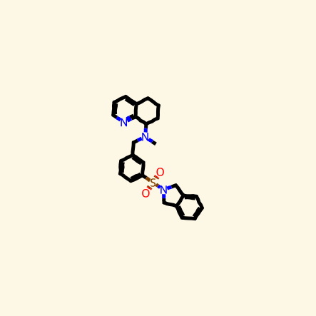 CN(Cc1cccc(S(=O)(=O)N2Cc3ccccc3C2)c1)C1CCCc2cccnc21